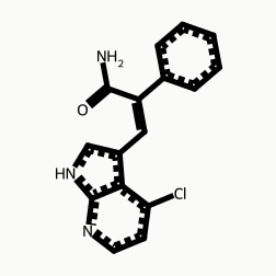 NC(=O)C(=Cc1c[nH]c2nccc(Cl)c12)c1ccccc1